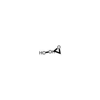 C1CO1.OO